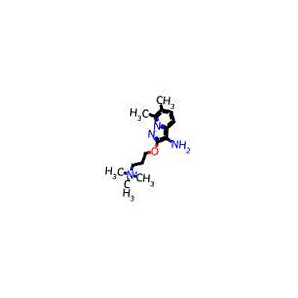 Cc1ccc2c(N)c(OCCC[N+](C)(C)C)nn2c1C